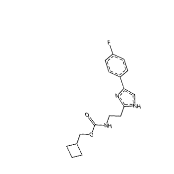 O=C(NCCc1nc(-c2ccc(F)cc2)c[nH]1)OCC1CCC1